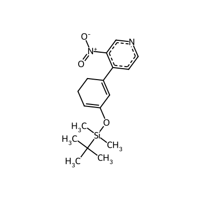 CC(C)(C)[Si](C)(C)OC1=CCCC(c2ccncc2[N+](=O)[O-])=C1